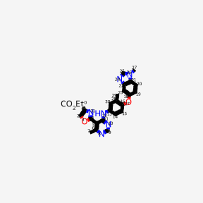 CCOC(=O)c1coc(-c2c(C)ncnc2Nc2ccc(Oc3ccc4c(c3)ncn4C)c(C)c2)n1